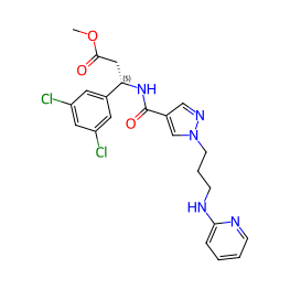 COC(=O)C[C@H](NC(=O)c1cnn(CCCNc2ccccn2)c1)c1cc(Cl)cc(Cl)c1